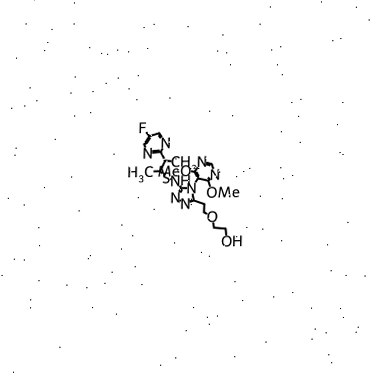 COc1ncnc(OC)c1-n1c(CCOCCO)nnc1NSC(C)C(C)c1ncc(F)cn1